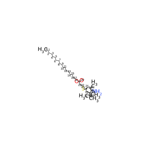 CCCCCCCCCCCCCCCCCCOC(=O)CCSc1cc(C)c(N)c(C(C)(C)C)c1